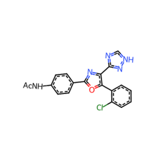 CC(=O)Nc1ccc(-c2nc(-c3nc[nH]n3)c(-c3ccccc3Cl)o2)cc1